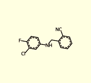 N#Cc1ccccc1CNc1ccc(F)c(Cl)c1